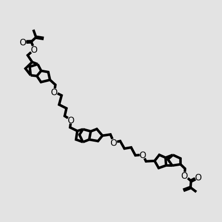 C=C(C)C(=O)OCC1CC2CC1C1CC(COCCCCOCC3CC4C5CC(COCCCCOCC6CC7C8CC(COC(=O)C(=C)C)C(C8)C7C6)C(C5)C4C3)CC21